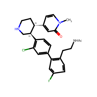 CC(=O)NCCc1ccc(F)cc1-c1ccc([C@H]2CNCC[C@@H]2c2ccn(C)c(=O)c2)c(Cl)c1